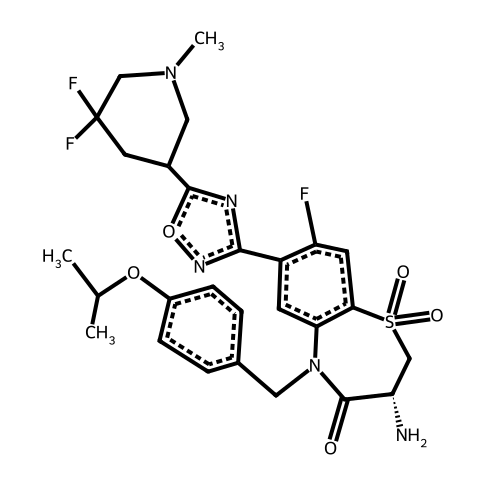 CC(C)Oc1ccc(CN2C(=O)[C@@H](N)CS(=O)(=O)c3cc(F)c(-c4noc(C5CN(C)CC(F)(F)C5)n4)cc32)cc1